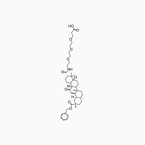 CC1(C)[C@@H](C(=O)NCCOCCOCCOCCC(=O)O)CC[C@]2(C)[C@H]3C(=O)C=C4[C@@H]5C[C@@](C)(C(=O)OCc6ccccc6)CC[C@]5(C)CC[C@@]4(C)[C@]3(C)CC[C@@H]12